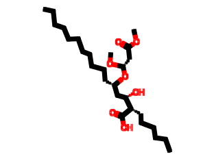 CCCCCCCCCCC[C@@H](C[C@H](O)[C@H](CCCCCC)C(=O)O)O[C@@H](CC(=O)OC)OC